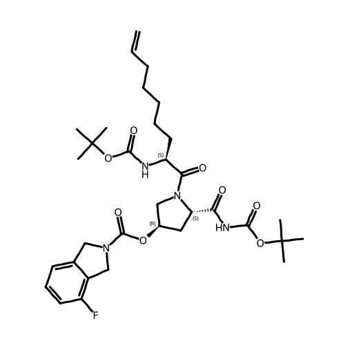 C=CCCCCC[C@H](NC(=O)OC(C)(C)C)C(=O)N1C[C@H](OC(=O)N2Cc3cccc(F)c3C2)C[C@H]1C(=O)NC(=O)OC(C)(C)C